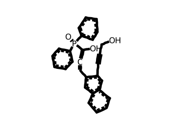 O=P(C(O)=C=Cc1cc2ccccc2cc1C#CCO)(c1ccccc1)c1ccccc1